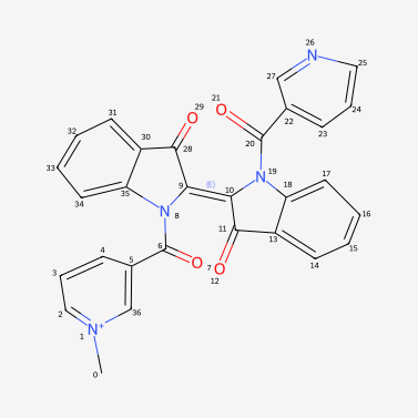 C[n+]1cccc(C(=O)N2/C(=C3\C(=O)c4ccccc4N3C(=O)c3cccnc3)C(=O)c3ccccc32)c1